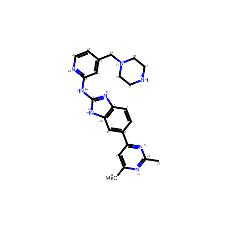 COc1cc(-c2ccc3nc(Nc4cc(CN5CCNCC5)ccn4)[nH]c3c2)nc(C)n1